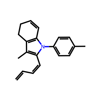 C=C/C=C\c1c(C)c2c(n1-c1ccc(C)cc1)C=CCC2